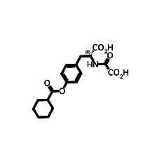 O=C(O)C(=O)N[C@H](Cc1ccc(OC(=O)C2CCCCC2)cc1)C(=O)O